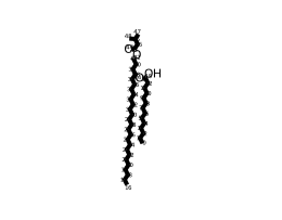 CCCCCCCCCCCCCC(=O)O.CCCCCCCCCCCCCCCCCCCCCCCCCCOC(=O)CC(C)C